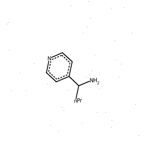 CCCC(N)c1ccncc1